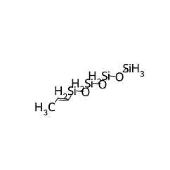 CC=C[SiH2]O[SiH2]O[SiH2]O[SiH3]